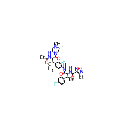 CCC(=O)N[C@@H](C(=O)N1CCN(C)CC1)[C@@H](C)c1ccc(NC(=O)C(NC(=O)c2nonc2CC)C(CC)c2ccc(F)cc2)c(F)c1